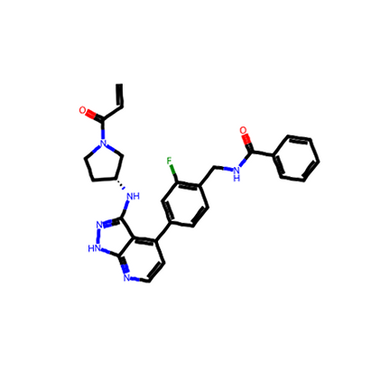 C=CC(=O)N1CC[C@@H](Nc2n[nH]c3nccc(-c4ccc(CNC(=O)c5ccccc5)c(F)c4)c23)C1